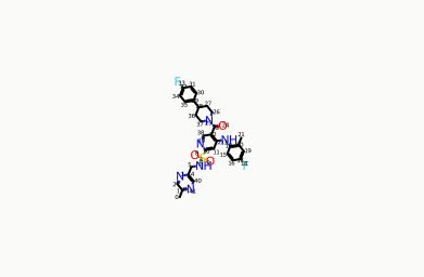 Cc1cnc(CNS(=O)(=O)c2cc(Nc3ccc(F)cc3C)c(C(=O)N3CCC(c4ccc(F)cc4)CC3)cn2)cn1